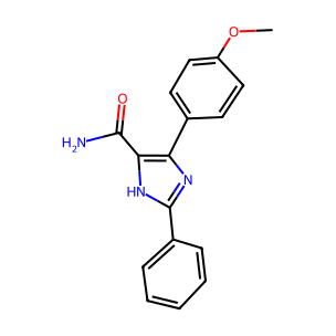 COc1ccc(-c2nc(-c3ccccc3)[nH]c2C(N)=O)cc1